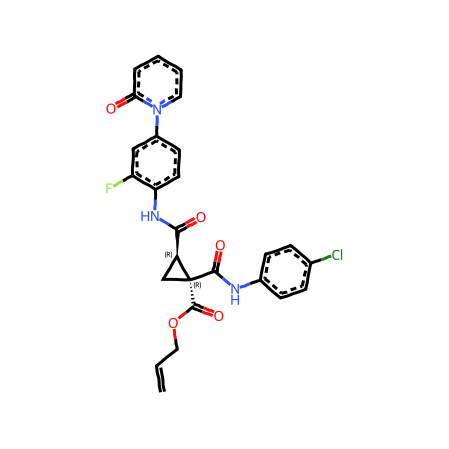 C=CCOC(=O)[C@]1(C(=O)Nc2ccc(Cl)cc2)C[C@H]1C(=O)Nc1ccc(-n2ccccc2=O)cc1F